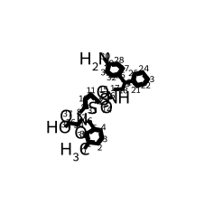 Cc1cccc(CN(Cc2ccc(S(=O)(=O)NCCC(c3ccccc3)c3ccc(N)cc3)s2)C(=O)C(=O)O)c1